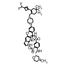 CN1CCO[C@H](CNc2ccc(S(=O)(=O)NC(=O)c3ccc(N4CCN(CC5=C(C67CC(C(F)F)(C6)C7)CC(C)(C)CC5)CC4)cc3Oc3cnc4[nH]ccc4c3)cc2[N+](=O)[O-])C1